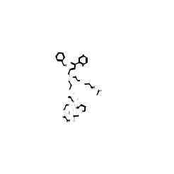 C[C@H](NC(=O)CN1C(=O)C=CC1=O)C(=O)N[C@H](C)C(=O)N[C@@H](CC(=O)O)C(=O)NCCCN(C(=O)CSCCC(=O)N[C@H](CC(=O)O)C(=O)O)[C@@H](c1cc(-c2cc(F)ccc2F)cn1Cc1ccccc1)C(C)(C)C